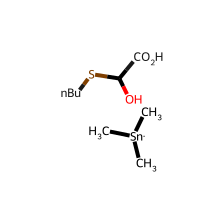 CCCCSC(O)C(=O)O.[CH3][Sn]([CH3])[CH3]